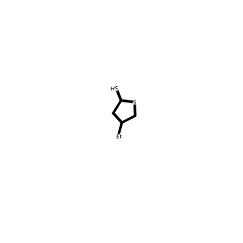 CCC1CSC(S)C1